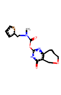 CN(Cc1cccs1)C(=O)Oc1nc2c(c(=O)[nH]1)COCC2